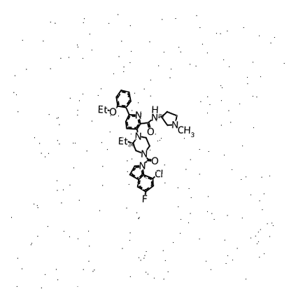 CCOc1ccccc1-c1ccc(N2CCN(C(=O)n3ccc4cc(F)cc(Cl)c43)C[C@H]2CC)c(C(=O)N[C@@H]2CCN(C)C2)n1